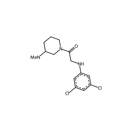 CNC1CCCN(C(=O)CNc2cc(Cl)cc(Cl)c2)C1